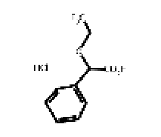 Cl.O=C(O)C(OCC(F)(F)F)c1ccccc1